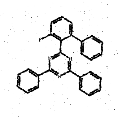 Fc1cccc(-c2ccccc2)c1-c1nc(-c2ccccc2)nc(-c2ccccc2)n1